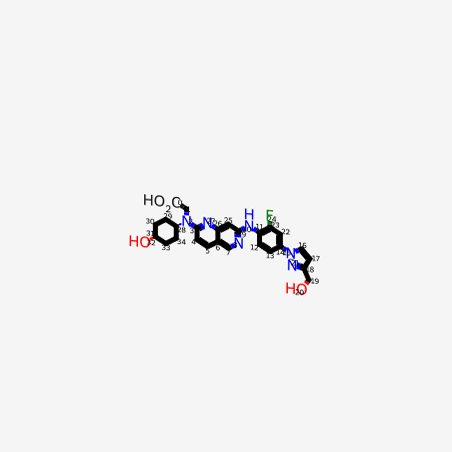 O=C(O)CN(c1ccc2cnc(Nc3ccc(-n4ccc(CO)n4)cc3F)cc2n1)[C@H]1CC[C@H](O)CC1